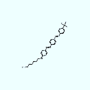 OCCCCCCNc1ccc(N=Nc2ccc(N=Nc3ccc(C(F)(F)F)cc3)cc2)cc1